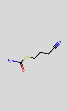 N#C[CH]CCSC(N)=O